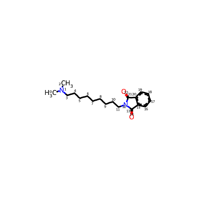 CN(C)CCCCCCCCCN1C(=O)c2ccccc2C1=O